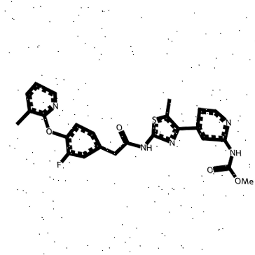 COC(=O)Nc1cc(-c2nc(NC(=O)Cc3ccc(Oc4ncccc4C)c(F)c3)sc2C)ccn1